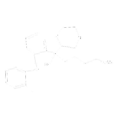 COCCCCC(O)(c1ccccc1Oc1ccccc1C)C1CNCCO1